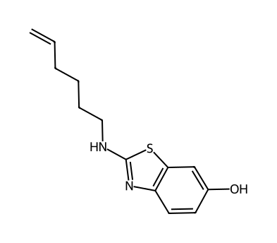 C=CCCCCNc1nc2ccc(O)cc2s1